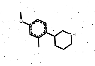 COc1ccc(C2CCCNC2)c(C)c1